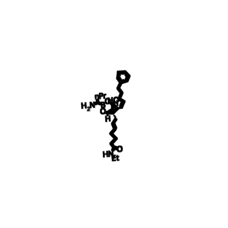 CCCC(N)B1O[C@H]2C[C@@H](O1)[C@@H](C/C=C/CCCC(=O)NCC)[C@@H]2/C=C\[C@H](O)CCc1ccccc1